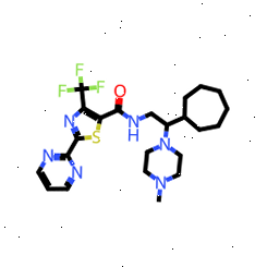 CN1CCN(C(CNC(=O)c2sc(-c3ncccn3)nc2C(F)(F)F)C2CCCCCC2)CC1